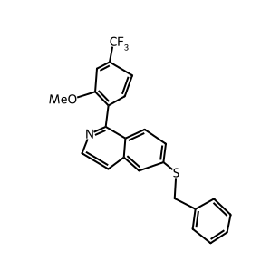 COc1cc(C(F)(F)F)ccc1-c1nccc2cc(SCc3ccccc3)ccc12